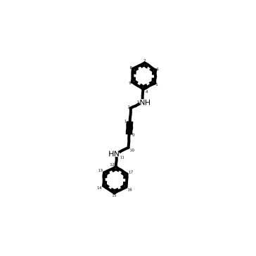 C(#CCNc1ccccc1)CNc1ccccc1